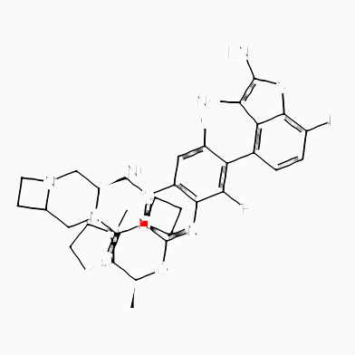 C[C@H](OC1=Nc2c(cc(Cl)c(-c3ccc(F)c4sc(N)c(C#N)c34)c2F)S(C[C@@H]2CN3CCC3CN2C(=O)N2CC[C@H]2C#N)=N1)[C@@H]1CCCN1C